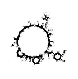 CO[C@H]1C[C@@H]2CC[C@@H](C)[C@@](O)(O2)C(=O)C(=O)N2CCCC[C@H]2C(=O)O[C@H]([C@H](C)C[C@@H]2CC[C@@H](O)[C@H](OC)C2)CC(=O)[C@H](C)/C=C(\C)[C@@H](O)[C@@H](OC)C(=O)[C@H](C)C[C@H](C)/C=C/C=C/C=C/1C.CP(C)(=O)O